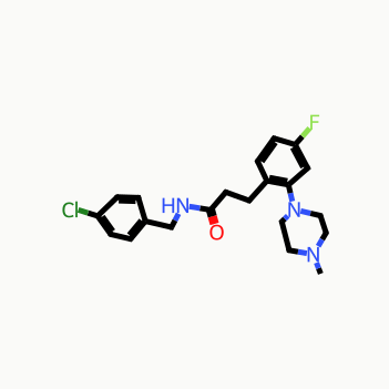 CN1CCN(c2cc(F)ccc2CCC(=O)NCc2ccc(Cl)cc2)CC1